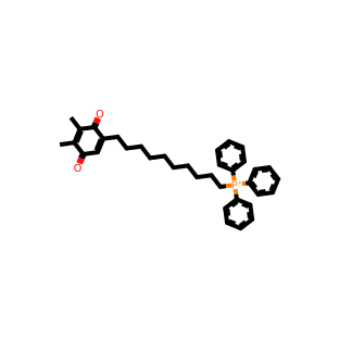 CC1=C(C)C(=O)C(CCCCCCCCCC[P+](c2ccccc2)(c2ccccc2)c2ccccc2)=CC1=O